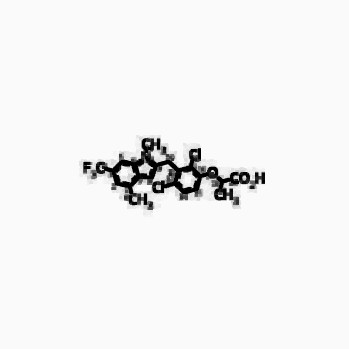 Cc1cc(C(F)(F)F)cc2c1cc(Cc1c(Cl)ccc(OC(C)C(=O)O)c1Cl)n2C